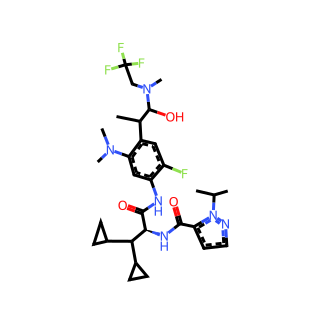 CC(c1cc(F)c(NC(=O)[C@@H](NC(=O)c2ccnn2C(C)C)C(C2CC2)C2CC2)cc1N(C)C)C(O)N(C)CC(F)(F)F